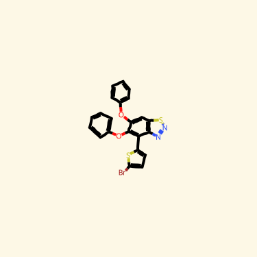 Brc1ccc(-c2c(Oc3ccccc3)c(Oc3ccccc3)cc3snnc23)s1